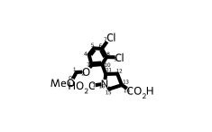 COCOc1ccc(Cl)c(Cl)c1C1CC(C(=O)O)CN1C(=O)O